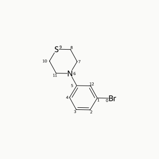 Brc1cccc(N2CCSCC2)c1